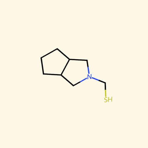 SCN1CC2CCCC2C1